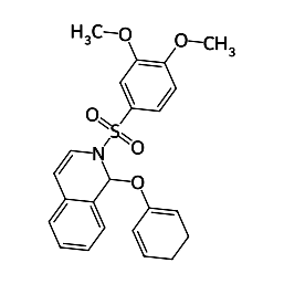 COc1ccc(S(=O)(=O)N2C=Cc3ccccc3C2OC2=CCCC=C2)cc1OC